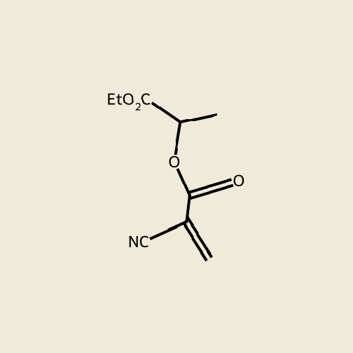 C=C(C#N)C(=O)OC(C)C(=O)OCC